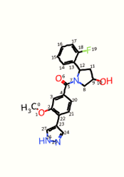 COc1cc(C(=O)N2CC(O)CC2c2ccccc2F)ccc1-c1cn[nH]c1